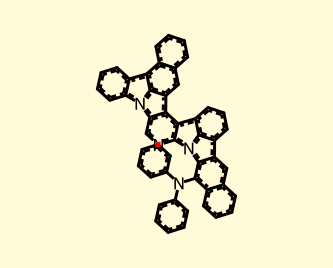 c1ccc(N(c2ccccc2)c2c3ccccc3cc3c4cccc5c6c7c8cc9ccccc9c9c%10ccccc%10n(c7cnc6n(c23)c45)c89)cc1